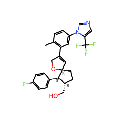 Cc1ccc(-n2cncc2C(F)(F)F)cc1C1=C[C@@]2(CC[C@H](CO)[C@H]2c2ccc(F)cc2)OC1